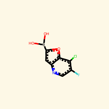 OB(O)c1cc2ncc(F)c(Cl)c2o1